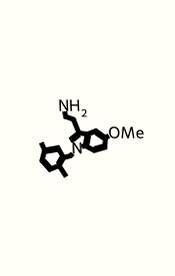 COc1ccc2c(c1)c(CCN)cn2Cc1cc(C)ccc1C